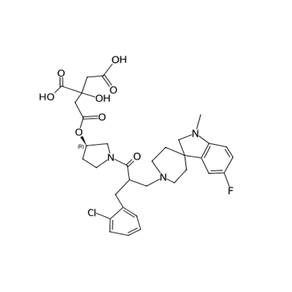 CN1CC2(CCN(CC(Cc3ccccc3Cl)C(=O)N3CC[C@@H](OC(=O)CC(O)(CC(=O)O)C(=O)O)C3)CC2)c2cc(F)ccc21